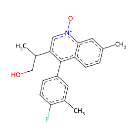 Cc1ccc2c(-c3ccc(F)c(C)c3)c(C(C)CO)c[n+]([O-])c2c1